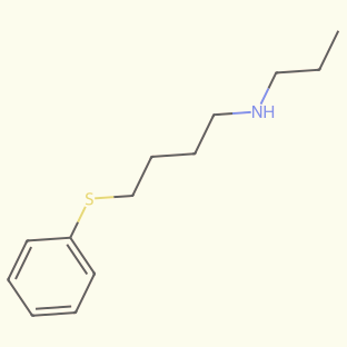 CCCNCCCCSc1ccccc1